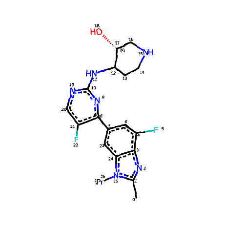 Cc1nc2c(F)cc(-c3nc(NC4CCNC[C@H]4O)ncc3F)cc2n1C(C)C